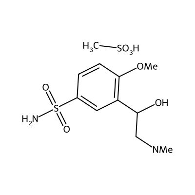 CNCC(O)c1cc(S(N)(=O)=O)ccc1OC.CS(=O)(=O)O